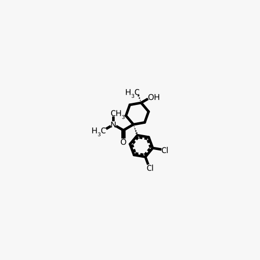 CN(C)C(=O)[C@]1(c2ccc(Cl)c(Cl)c2)CC[C@](C)(O)CC1